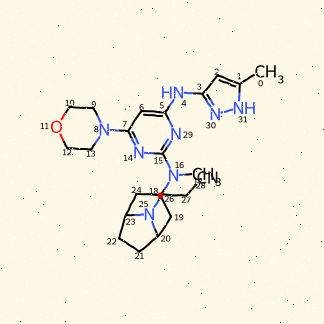 Cc1cc(Nc2cc(N3CCOCC3)nc(N(C)C3CC4CCC(C3)N4CCC#N)n2)n[nH]1